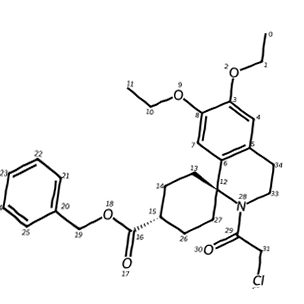 CCOc1cc2c(cc1OCC)[C@]1(CC[C@@H](C(=O)OCc3ccccc3)CC1)N(C(=O)CCl)CC2